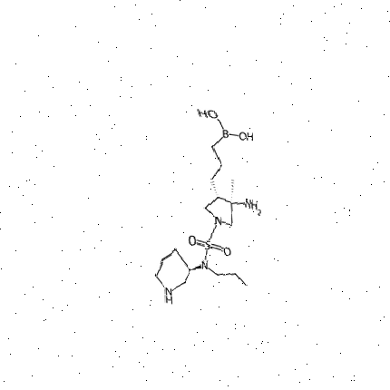 CCCN([C@@H]1CCCNC1)S(=O)(=O)N1C[C@H](CCCB(O)O)[C@@](C)(N)C1